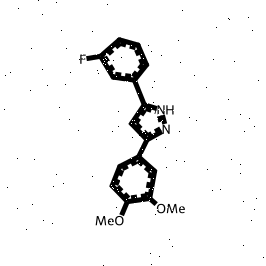 COc1ccc(-c2cc(-c3cccc(F)c3)[nH]n2)cc1OC